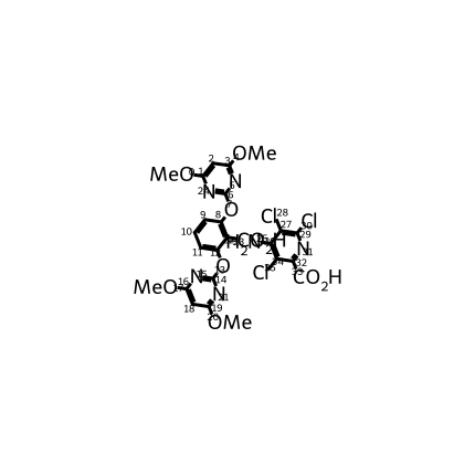 COc1cc(OC)nc(Oc2cccc(Oc3nc(OC)cc(OC)n3)c2C(=O)O)n1.Nc1c(Cl)c(Cl)nc(C(=O)O)c1Cl